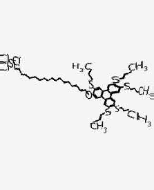 CCCCSc1cc2c(cc1OCCCCCCCCCCCCCCCCCC[Si](Cl)(Cl)Cl)c1cc(SCCCC)c(SCCCC)cc1c1cc(SCCCC)c(SCCCC)cc21